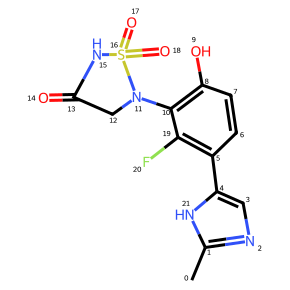 Cc1ncc(-c2ccc(O)c(N3CC(=O)NS3(=O)=O)c2F)[nH]1